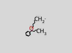 [CH2]CCCCOC(CCC)c1ccccc1